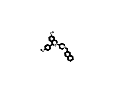 COc1ccc(C2=NN(C3CCN(Cc4ccc5ccccc5c4)CC3)Cc3cc(OC)ccc32)cc1